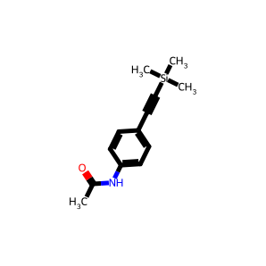 CC(=O)Nc1ccc(C#C[Si](C)(C)C)cc1